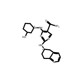 NC(=O)c1cnc(N[C@@H]2CCc3ncccc3C2)nc1N[C@@H]1CCCC(O)C1